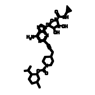 CC1CCC(C(C)C)C(OC(=O)N2CCC(CC#Cc3nc(N)c4ncn([C@@H]5O[C@H](C(=O)NC6CC6)[C@H](O)C5O)c4n3)CC2)C1